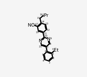 CCc1ccc[c]c1-c1cnc(-c2ccc(CC(C)C)c(C#N)c2)nc1